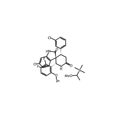 CC(C)Oc1ccc(F)c(F)c1[C@H]1NC(=O)C[C@@H](c2cccc(Cl)c2)[C@]12C(=O)Nc1cc(Cl)ccc12.COC(C)[Si](C)(C)C